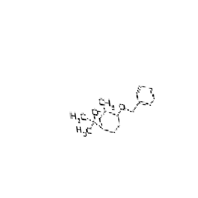 CC1(C)OC2(C)CC1CCC2OCc1ccccc1